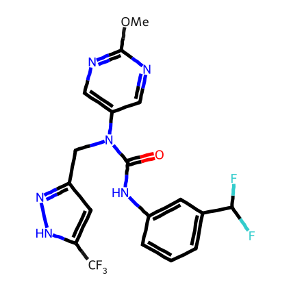 COc1ncc(N(Cc2cc(C(F)(F)F)[nH]n2)C(=O)Nc2cccc(C(F)F)c2)cn1